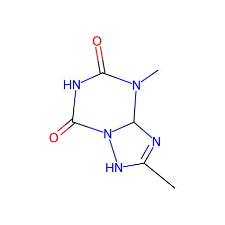 CC1=NC2N(C)C(=O)NC(=O)N2N1